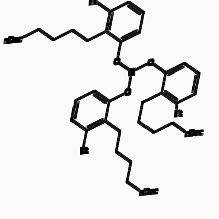 CCCCCCCCCCCCCCc1c(CC)cccc1[O][Bi]([O]c1cccc(CC)c1CCCCCCCCCCCCCC)[O]c1cccc(CC)c1CCCCCCCCCCCCCC